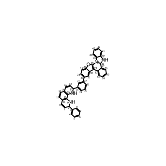 C1=CC(c2ccccc2)Nc2c1ccc1c2NC(c2cccc(-c3ccc4oc5c(c4c3)-c3ccccc3C3Nc4ccccc4N53)c2)C=C1